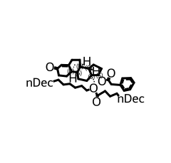 CCCCCCCCCCCCCCCCOC(=O)CCCCCCCCCCCCC.C[C@]12CC[C@H]3[C@@H](CCC4=CC(=O)CC[C@@]43C)[C@@H]1CC[C@@H]2OC(=O)Cc1ccccc1